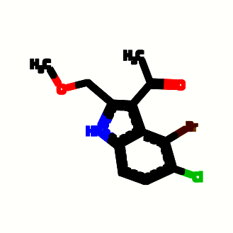 COCc1[nH]c2ccc(Cl)c(Br)c2c1C(C)=O